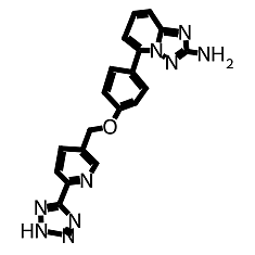 Nc1nc2cccc(-c3ccc(OCc4ccc(-c5nn[nH]n5)nc4)cc3)n2n1